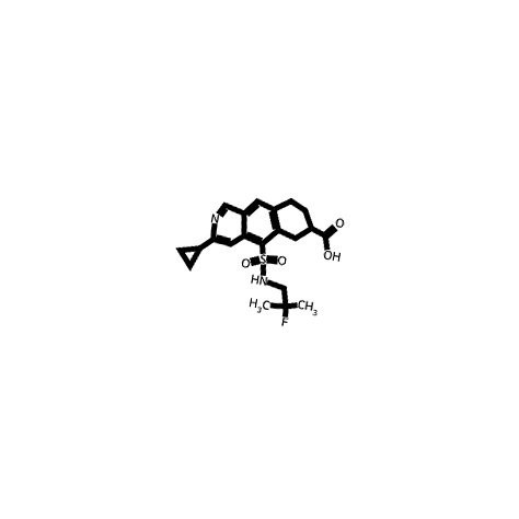 CC(C)(F)CNS(=O)(=O)c1c2c(cc3cnc(C4CC4)cc13)CCC(C(=O)O)C2